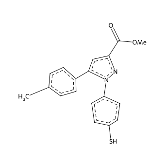 COC(=O)c1cc(-c2ccc(C)cc2)n(-c2ccc(S)cc2)n1